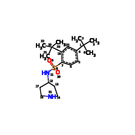 CC(C)(C)c1ccc(S(=O)(=O)NC2CCNCC2)c(C(C)(C)C)c1